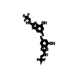 Oc1cc(SSc2cc(O)c3nc(NCC(F)(F)F)sc3c2)cc2sc(NCC(F)(F)F)nc12